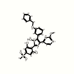 CSc1nccc(-c2nc(-c3c(Cl)cc(S(C)(=O)=O)cc3Cl)n(O)c2-c2cccc(OCc3ccccc3)c2)n1